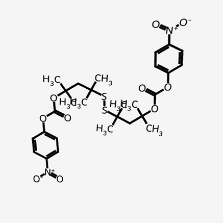 CC(C)(CC(C)(C)SSC(C)(C)CC(C)(C)OC(=O)Oc1ccc([N+](=O)[O-])cc1)OC(=O)Oc1ccc([N+](=O)[O-])cc1